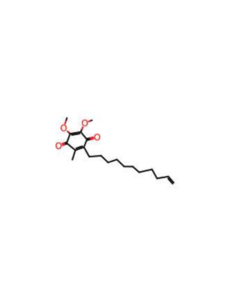 C=CCCCCCCCCCC1=C(C)C(=O)C(OC)=C(OC)C1=O